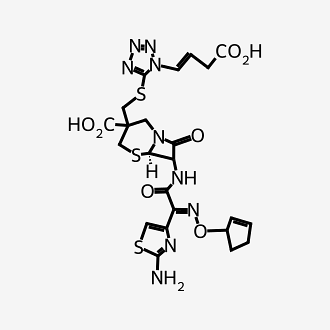 Nc1nc(C(=NOC2C=CCC2)C(=O)NC2C(=O)N3CC(CSc4nnnn4C=CCC(=O)O)(C(=O)O)CS[C@H]23)cs1